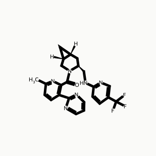 Cc1ccc(-c2ncccn2)c(C(=O)N2C[C@@H]3C[C@@H]3C[C@H]2CNc2ccc(C(F)(F)F)cn2)n1